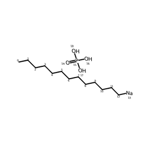 CCCCCCCCCCCC[CH2][Na].O=P(O)(O)O